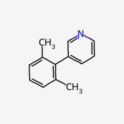 Cc1cccc(C)c1-c1cccnc1